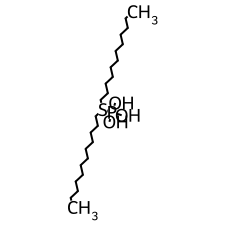 CCCCCCCCCCCCS(CCCCCCCCCCCC)=P(O)(O)O